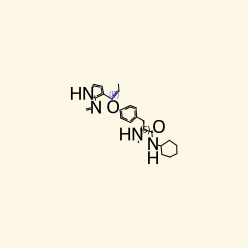 C=Nc1[nH]ccc1/C(=C\C)Oc1ccc(C[C@H](NC)C(=O)NC2CCCCC2)cc1